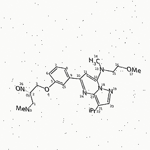 CNC[C@@H](COc1cccc(-c2cc(N(C)CCOC)n3ncc(C(C)C)c3n2)c1)N=O